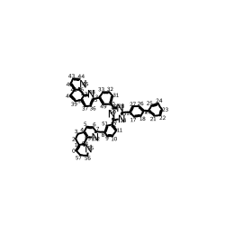 C1=C2CCc3ccc(-c4cccc(-c5nc(-c6ccc(-c7ccccc7)cc6)nc(-c6cccc(-c7ccc8ccc9cccnc9c8n7)c6)n5)c4)nc3C2=NCC1